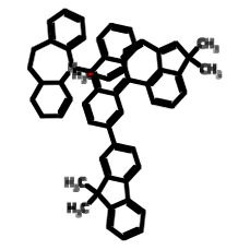 C/C=C\C=C/C1=CC(C)(C)c2cccc(-c3c4ccccc4c(N4c5ccccc5CCC5CCC=CC54)c4ccc(-c5ccc6c(c5)C(C)(C)c5ccccc5-6)cc34)c21